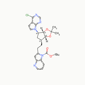 CC(C)(C)OC(=O)n1c(CC[C@H]2C[C@@H](n3ccc4c(Cl)ncnc43)[C@@H]3OC(C)(C)O[C@H]23)cc2ncccc21